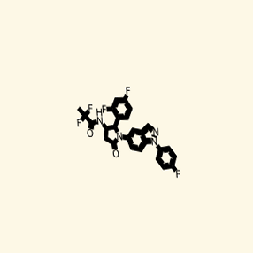 CC(F)(F)C(=O)NC1CC(=O)N(c2ccc3c(cnn3-c3ccc(F)cc3)c2)C1c1ccc(F)cc1F